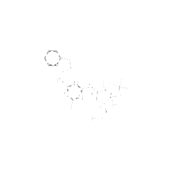 Cc1nc(N[C@H]2CCc3ccccc32)nc(N[C@@H]2C[C@H](CO)[C@H]3OC(C)(C)O[C@H]32)n1